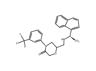 C[C@@H](NCC1CN(c2cccc(C(F)(F)F)c2)C(=O)CO1)c1cccc2ccccc12